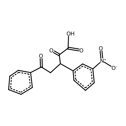 O=C(O)C(=O)C(CC(=O)c1ccccc1)c1cccc([N+](=O)[O-])c1